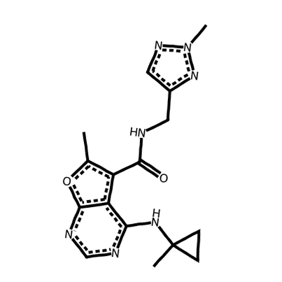 Cc1oc2ncnc(NC3(C)CC3)c2c1C(=O)NCc1cnn(C)n1